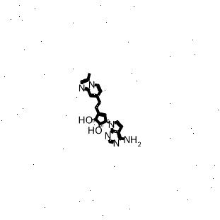 Cc1cnc2cc(CCC3=C[C@@H](n4ccc5c(N)ncnc54)[C@H](O)[C@@H]3O)ccn12